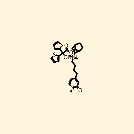 Cn1ccc(CCCC[N+](C)(C)C2CC3CCC2C3OC(=O)C(O)(c2cccs2)c2cccs2)cc1=O